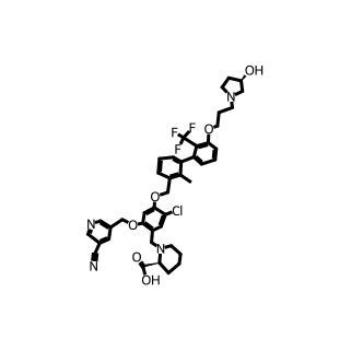 Cc1c(COc2cc(OCc3cncc(C#N)c3)c(CN3CCCC[C@H]3C(=O)O)cc2Cl)cccc1-c1cccc(OCCCN2CC[C@@H](O)C2)c1C(F)(F)F